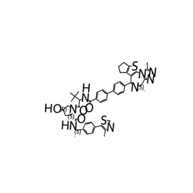 Cc1ncsc1-c1ccc([C@H](C)NC(=O)[C@@H]2C[C@@H](O)CN2C(=O)C(NC(=O)c2ccc(-c3ccc(C4=N[C@@H](C)c5nnc(C)n5-c5sc6c(c54)CCC6)cc3)cc2)C(C)(C)C)cc1